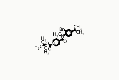 CC(C)c1ccc(N(C)C(=O)C2CCN(C(=O)OC(C)(C)C)CC2)c(Br)c1